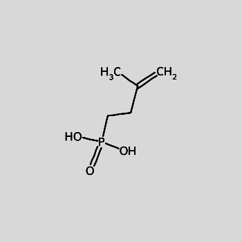 C=C(C)CCP(=O)(O)O